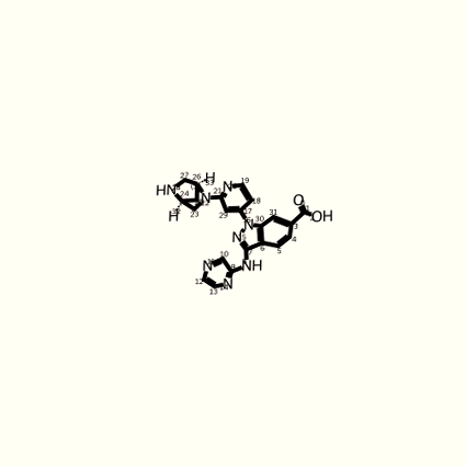 O=C(O)c1ccc2c(Nc3cnccn3)nn(-c3ccnc(N4C[C@@H]5C[C@H]4CN5)c3)c2c1